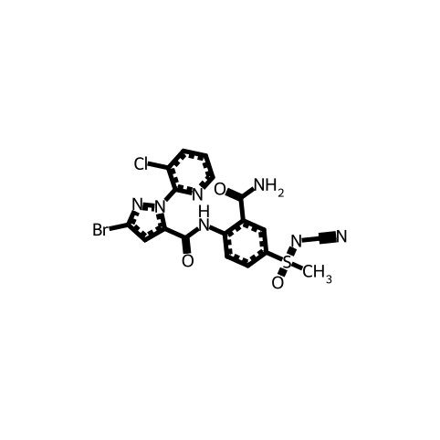 CS(=O)(=NC#N)c1ccc(NC(=O)c2cc(Br)nn2-c2ncccc2Cl)c(C(N)=O)c1